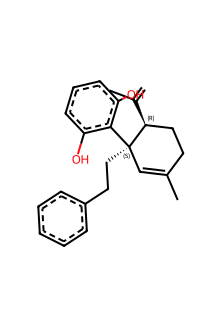 C=C(C)[C@H]1CCC(C)=C[C@@]1(CCc1ccccc1)c1c(O)cccc1O